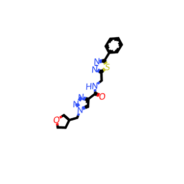 O=C(NCc1nnc(-c2ccccc2)s1)c1cn(CC2CCOC2)nn1